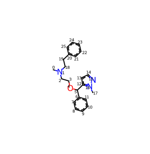 CN(CCOC(c1ccccc1)c1ccnn1C)CCc1ccccc1